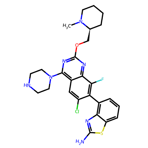 CN1CCCC[C@H]1COc1nc(N2CCNCC2)c2cc(Cl)c(-c3cccc4sc(N)nc34)c(F)c2n1